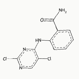 NC(=O)c1ccccc1Nc1nc(Cl)ncc1Cl